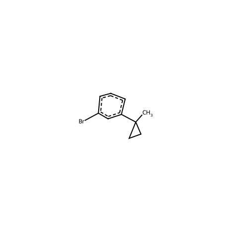 CC1(c2cccc(Br)c2)CC1